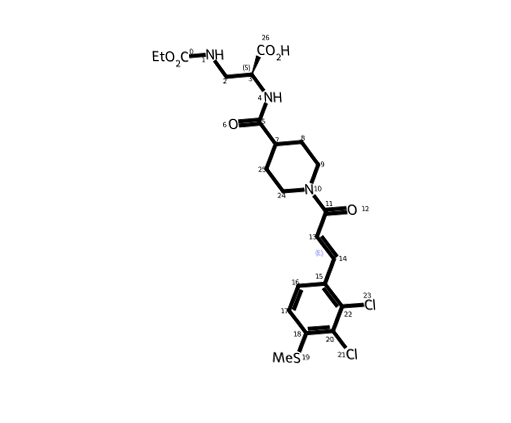 CCOC(=O)NC[C@H](NC(=O)C1CCN(C(=O)/C=C/c2ccc(SC)c(Cl)c2Cl)CC1)C(=O)O